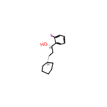 O[C@@H](CC[C@H]1[CH]CCCC1)c1ccccc1I